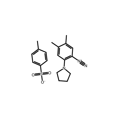 Cc1cc([N+]#N)c(N2CCCC2)cc1C.Cc1ccc(S(=O)(=O)[O-])cc1